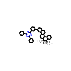 CC1(C)c2ccccc2-c2c(ccc3c2ccc2ccc(-c4cccc(-c5nc(-c6ccccc6)nc(-c6ccccc6)n5)c4)cc23)C1(C)C